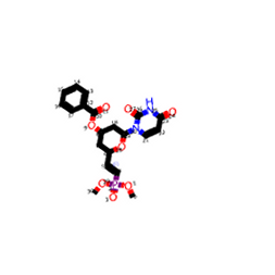 COP(=O)(/C=C/C1CC(OC(=O)c2ccccc2)CC(n2ccc(=O)[nH]c2=O)O1)OC